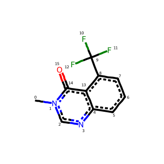 Cn1cnc2cccc(C(F)(F)F)c2c1=O